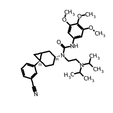 COc1cc(NC(=O)N(CCN(C(C)C)C(C)C)[C@@H]2CC[C@]3(c4cccc(C#N)c4)CC3C2)cc(OC)c1OC